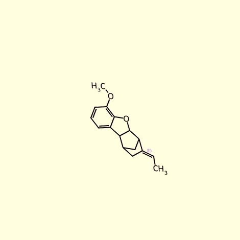 C/C=C1\CC2CC1C1Oc3c(OC)cccc3C21